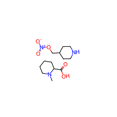 CN1CCCCC1C(=O)O.O=[N+]([O-])OCC1CCNCC1